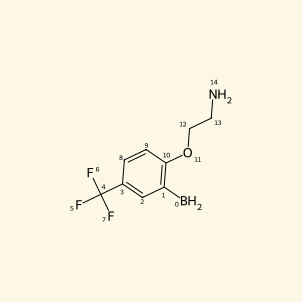 Bc1cc(C(F)(F)F)ccc1OCCN